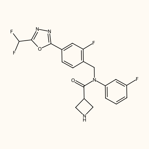 O=C(C1CNC1)N(Cc1ccc(-c2nnc(C(F)F)o2)cc1F)c1cccc(F)c1